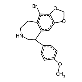 COc1ccc(C2CNCCc3c2cc2c(c3Br)OCO2)cc1